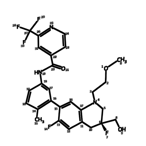 COCCN1C[C@](F)(CO)Cc2cc(F)c(-c3cc(NC(=O)c4ccnc(C(F)(F)F)c4)ccc3C)cc21